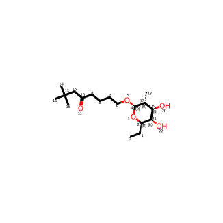 CC[C@H]1O[C@@H](OCCCCC(=O)CC(C)(C)C)[C@H](C)[C@@H](O)[C@H]1O